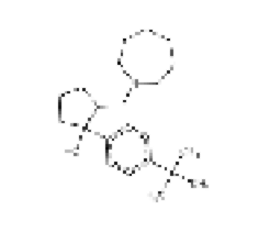 CC(C)(C)c1ccc(C2(O)CCCC2CN2CCCCCC2)cc1